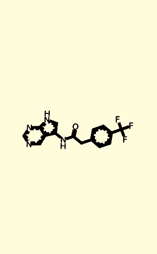 O=C(Cc1ccc(C(F)(F)F)cc1)Nc1c[nH]c2ncncc12